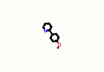 COc1ccc(-c2[c]cccn2)cc1